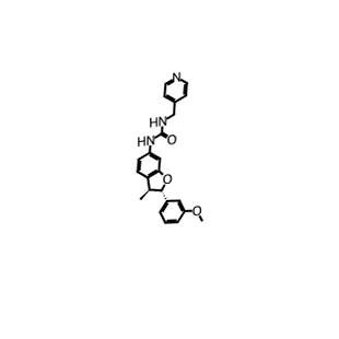 COc1cccc([C@H]2Oc3cc(NC(=O)NCc4ccncc4)ccc3[C@@H]2C)c1